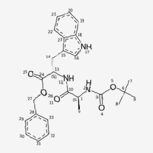 C[C@H](NC(=O)OC(C)(C)C)C(=O)N[C@@H](Cc1c[nH]c2ccccc12)C(=O)OCc1ccccc1